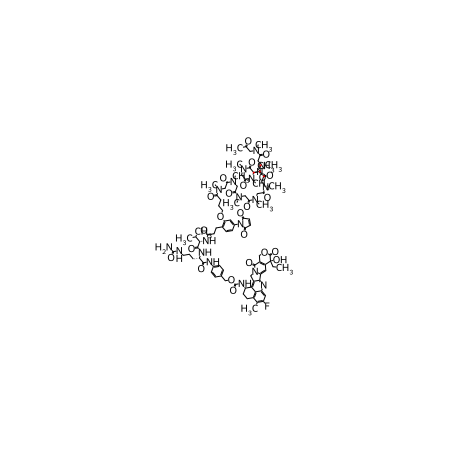 CC[C@@]1(O)C(=O)OCc2c1cc1n(c2=O)Cc2c-1nc1cc(F)c(C)c3c1c2[C@@H](NC(=O)OCc1ccc(NC(=O)[C@H](CCCNC(N)=O)NC(=O)[C@@H](NC(=O)CCc2ccc(N4C(=O)C=CC4=O)cc2OCCCC(=O)N(C)CC(=O)N(C)CC(=O)N(C)CC(=O)N(C)CC(=O)N(C)CC(=O)N(C)CC(=O)N(C)CC(=O)N(C)CC(=O)N(C)CC(=O)N(C)CC(C)=O)C(C)C)cc1)CC3